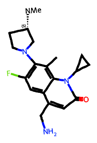 CN[C@H]1CCN(c2c(F)cc3c(CN)cc(=O)n(C4CC4)c3c2C)C1